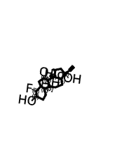 C#C[C@]1(O)CC[C@H]2[C@@H]3[C@@H](OC(C)=O)CC4[C@@H](F)[C@H](O)CC[C@]4(C)[C@H]3CC[C@@]21C